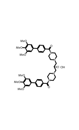 COc1cc(-c2ccc(C(=O)N3CCN(CCCN4CCN(C(=O)c5ccc(-c6cc(OC)c(OC)c(OC)c6)cc5)CC4)CC3)cc2)cc(OC)c1OC.Cl.Cl